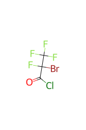 O=C(Cl)C(F)(Br)C(F)(F)F